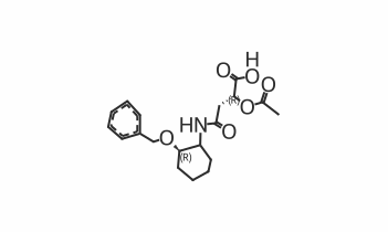 CC(=O)O[C@H](CC(=O)NC1CCCC[C@H]1OCc1ccccc1)C(=O)O